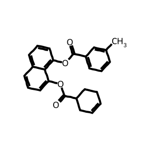 Cc1cccc(C(=O)Oc2cccc3cccc(OC(=O)C4CC=CCC4)c23)c1